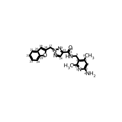 Cc1cc(N)nc(C)c1CNC(=O)c1cnn(Cc2cc3ccccc3o2)n1